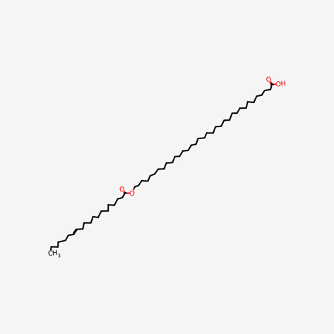 CCCCCCC=CCCCCCCCCCCCC(=O)OCCCCCCCCCCCCCCCCCCCCCCCCCCCCCCCCCCC(=O)O